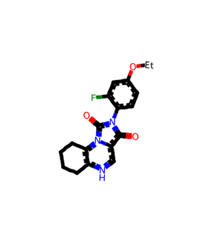 CCOc1ccc(-n2c(=O)c3c[nH]c4c(n-3c2=O)CCCC4)c(F)c1